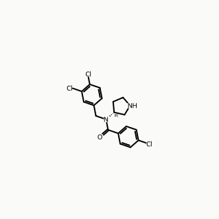 O=C(c1ccc(Cl)cc1)N(Cc1ccc(Cl)c(Cl)c1)[C@@H]1CCNC1